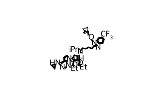 CCC1(CC)O[C@@H]2[C@@H](CN(CCCCc3nc4ccc(C(F)(F)F)cc4n3COCC[Si](C)(C)C)C(C)C)C[C@@H](n3ccc4c(NC5CC5)ncnc43)[C@@H]2O1